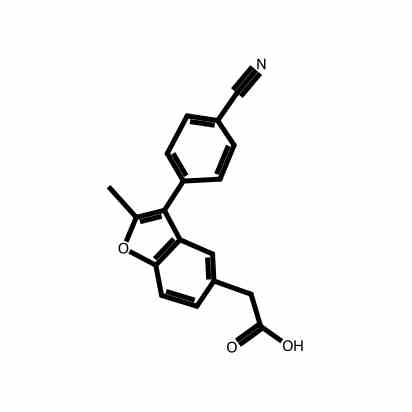 Cc1oc2ccc(CC(=O)O)cc2c1-c1ccc(C#N)cc1